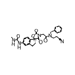 CNC(=O)Nc1ccc2c(c1)CC[C@@]21OC(=O)N(CC(=O)N(CCC#N)Cc2ccccc2)C1=O